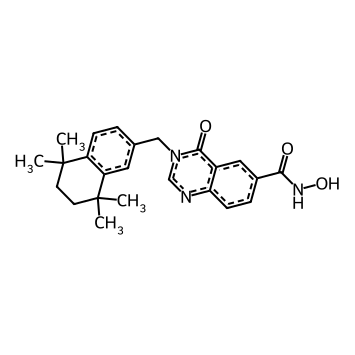 CC1(C)CCC(C)(C)c2cc(Cn3cnc4ccc(C(=O)NO)cc4c3=O)ccc21